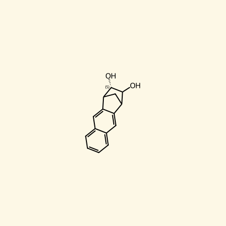 OC1C2CC(c3cc4ccccc4cc32)[C@@H]1O